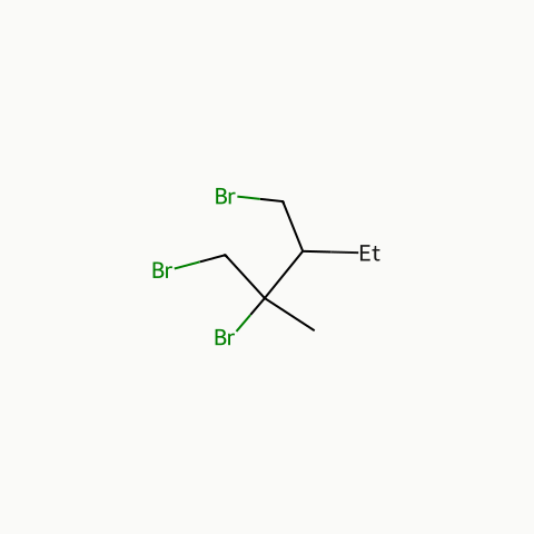 CCC(CBr)C(C)(Br)CBr